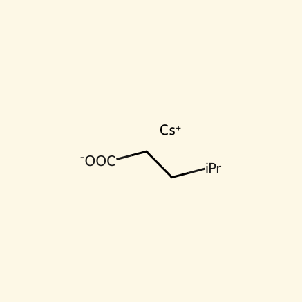 CC(C)CCC(=O)[O-].[Cs+]